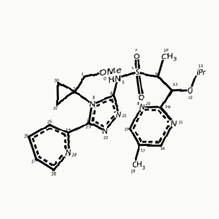 COCC1(n2c(NS(=O)(=O)C(C)C(OC(C)C)c3ncc(C)cn3)nnc2-c2ccccn2)CC1